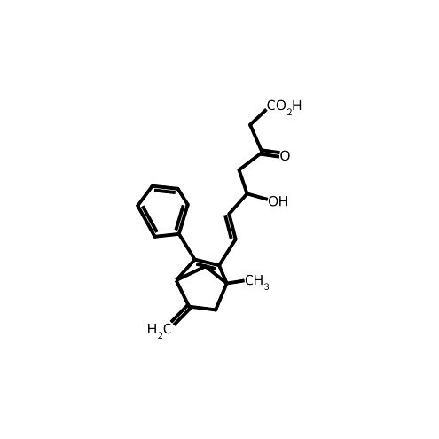 C=C1CC2(C)CC1C(c1ccccc1)=C2/C=C/C(O)CC(=O)CC(=O)O